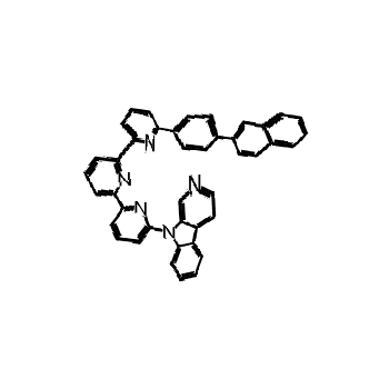 c1cc(-c2ccc(-c3ccc4ccccc4c3)cc2)nc(-c2cccc(-c3cccc(-n4c5ccccc5c5ccncc54)n3)n2)c1